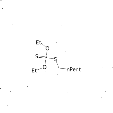 CCCCCCSP(=S)(OCC)OCC